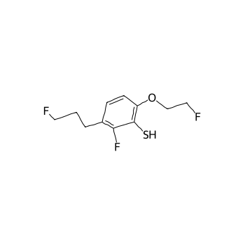 FCCCc1ccc(OCCF)c(S)c1F